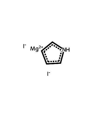 [I-].[I-].[Mg+2].c1cc[nH]c1